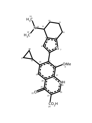 COc1c(-c2cc3c(s2)CCCC3N(C)C)c(C2CC2)cc2c(=O)c(C(=O)O)c[nH]c12